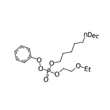 CCCCCCCCCCCCCCCOP(=O)(OCCOCC)OOc1ccccc1